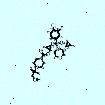 CC(C)(CO)N1CCN(C(=O)OC2([C@H]3COC[C@@H](C4CC4)N3S(=O)(=O)c3ccc(Cl)c(F)c3)CC2)CC1